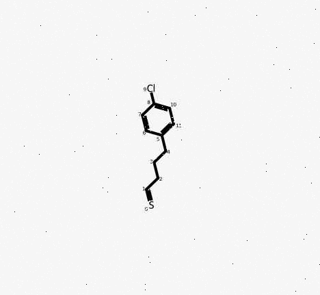 S=[C]CCCc1ccc(Cl)cc1